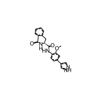 COc1cc(-c2cn[nH]c2)ccc1NC(=O)[C@@H]1Cc2ccccc2C(=O)N1